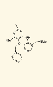 CNCc1ccccc1Pc1cc(C)cc(C(C)(C)C)c1OCc1ccccc1